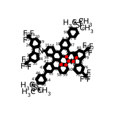 C[Si](C)(C)c1ccc(-c2ccc(-c3c4ccc(-n5c6ccc(C(F)(F)F)cc6c6cc(C(F)(F)F)ccc65)cc4c(-c4ccc(-c5ccc([Si](C)(C)C)cc5)cc4-c4ccccc4)c4ccc(-n5c6ccc(C(F)(F)F)cc6c6cc(C(F)(F)F)ccc65)cc34)c(-c3ccccc3)c2)cc1